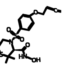 C=C=CCOc1ccc(S(=O)(=O)N2CCSC(C)(C)[C@@H]2C(=O)NO)cc1